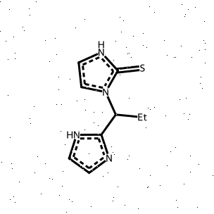 CCC(c1ncc[nH]1)n1cc[nH]c1=S